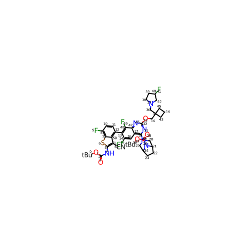 CC(C)(C)OC(=O)Nc1sc2c(F)ccc(-c3c(Cl)cc4c(N5CC6CCC(C5)N6C(=O)OC(C)(C)C)nc(OCC5(CN6CCC(F)C6)CCC5)nc4c3F)c2c1C#N